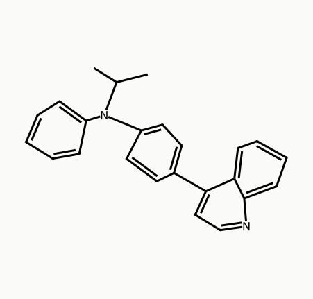 CC(C)N(c1ccccc1)c1ccc(-c2ccnc3ccccc23)cc1